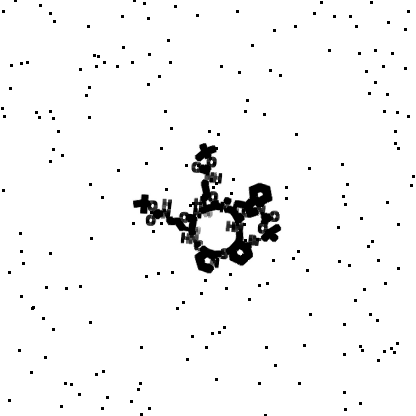 CN1C(=O)[C@H](CCCNC(=O)OC(C)(C)C)NC(=O)[C@H](CCCNC(=O)OC(C)(C)C)NCc2cccnc2Sc2cccc(Br)c2CNC(=O)[C@@H]1Cc1cn(C(=O)OC(C)(C)C)c2ccccc12